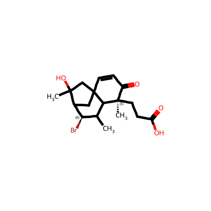 CC1C2C3(C=CC(=O)[C@@]2(C)CCC(=O)O)CC([C@@H]1Br)C(C)(O)C3